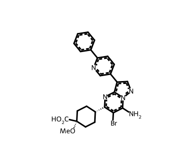 CO[C@]1(C(=O)O)CC[C@H](c2nc3c(-c4ccc(-c5ccccc5)nc4)cnn3c(N)c2Br)CC1